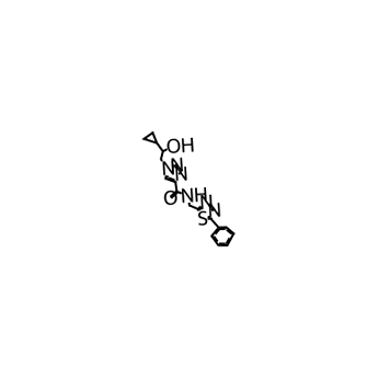 O=C(NCc1nnc(-c2ccccc2)s1)c1cn(CC(O)C2CC2)nn1